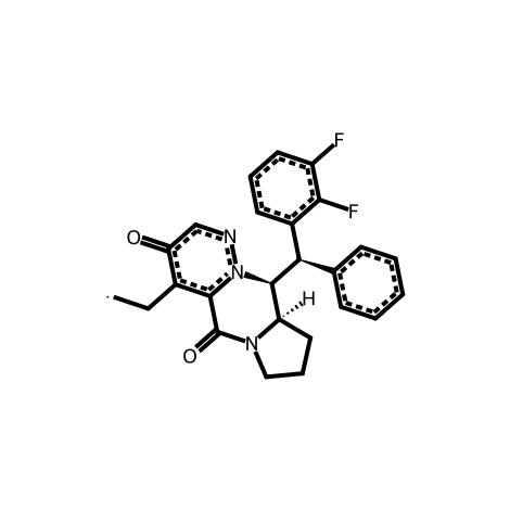 [CH2]Cc1c2n(ncc1=O)[C@@H]([C@H](c1ccccc1)c1cccc(F)c1F)[C@H]1CCCN1C2=O